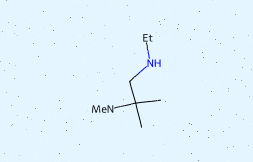 CCNCC(C)(C)NC